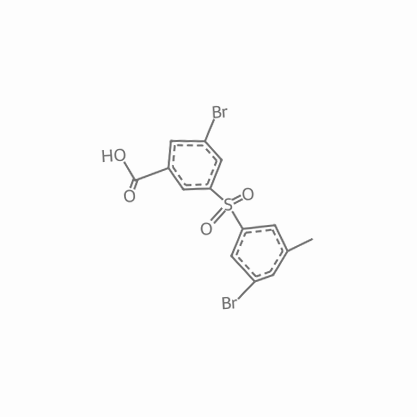 Cc1cc(Br)cc(S(=O)(=O)c2cc(Br)cc(C(=O)O)c2)c1